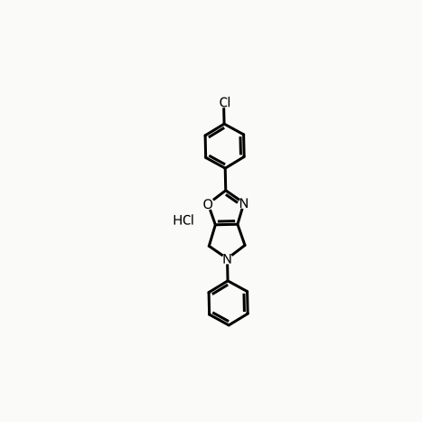 Cl.Clc1ccc(-c2nc3c(o2)CN(c2ccccc2)C3)cc1